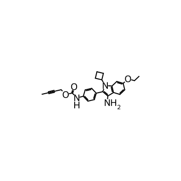 CC#CCOC(=O)Nc1ccc(-c2c(N)c3ccc(OCC)cc3n2C2CCC2)cc1